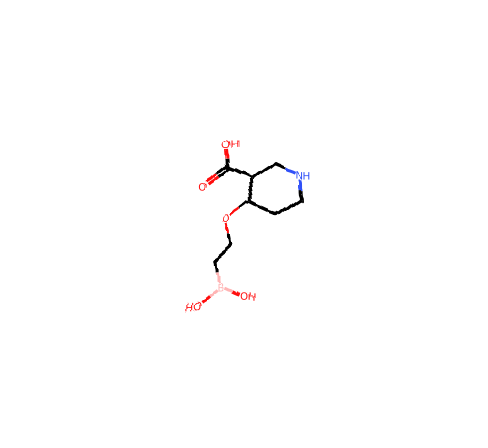 O=C(O)C1CNCCC1OCCB(O)O